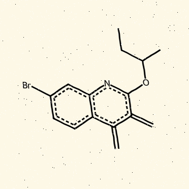 C=c1c(OC(C)CC)nc2cc(Br)ccc2c1=C